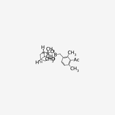 CC(=O)c1c(C)ccc(CB2OC3C[C@@H]4C[C@@H](C4(C)C)[C@]3(C)O2)c1C